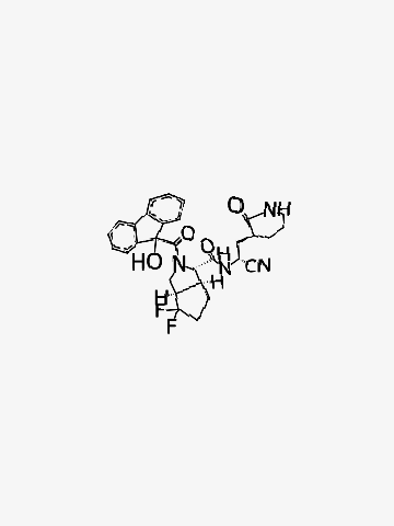 N#C[C@@H](C[C@@H]1CCCNC1=O)NC(=O)[C@@H]1[C@H]2CCC(F)(F)[C@H]2CN1C(=O)C1(O)c2ccccc2-c2ccccc21